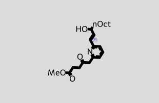 CCCCCCCCC(O)/C=C/c1cccc(CC(=O)CCC(=O)OC)n1